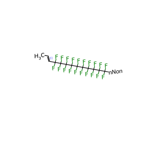 C/C=C/C(F)(F)C(F)(F)C(F)(F)C(F)(F)C(F)(F)C(F)(F)C(F)(F)C(F)(F)C(F)(F)C(F)(F)CCCCCCCCC